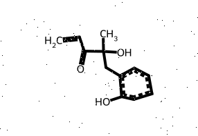 C=CC(=O)C(C)(O)Cc1c[c]ccc1O